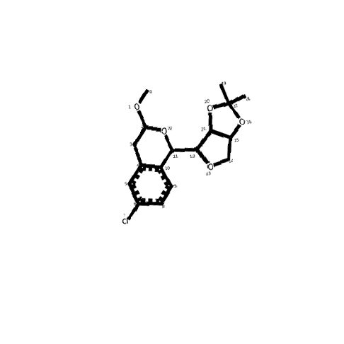 COC1Cc2cc(Cl)ccc2C(C2OCC3OC(C)(C)OC32)O1